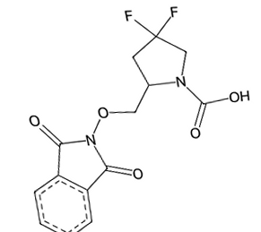 O=C1c2ccccc2C(=O)N1OCC1CC(F)(F)CN1C(=O)O